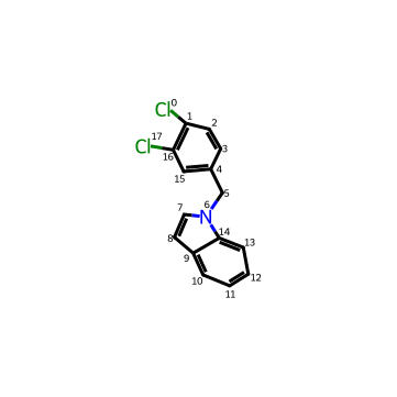 Clc1ccc(Cn2ccc3ccccc32)cc1Cl